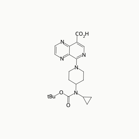 CC(C)(C)OC(=O)N(C1CC1)C1CCN(c2ncc(C(=O)O)c3nccnc23)CC1